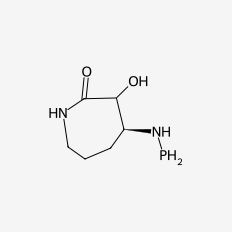 O=C1NCCC[C@H](NP)C1O